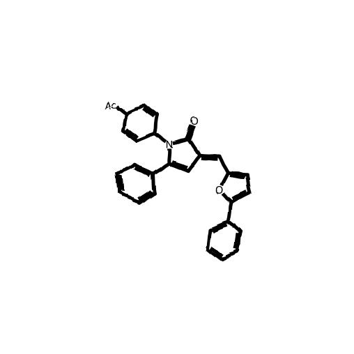 CC(=O)C1C=CC(N2C(=O)/C(=C/c3ccc(-c4ccccc4)o3)C=C2c2ccccc2)C=C1